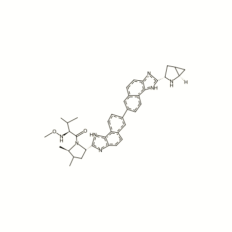 CON[C@H](C(=O)N1[C@H](C)C(C)C[C@H]1c1nc2ccc3cc(-c4ccc5c(ccc6nc([C@@H]7CC8C[C@H]8N7)[nH]c65)c4)ccc3c2[nH]1)C(C)C